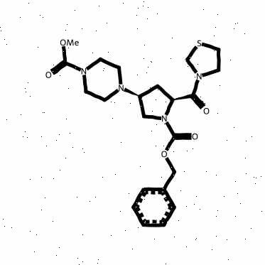 COC(=O)N1CCN([C@H]2C[C@@H](C(=O)N3CCSC3)N(C(=O)OCc3ccccc3)C2)CC1